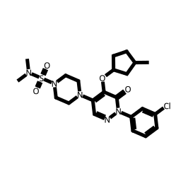 CC1CCC(Oc2c(N3CCN(S(=O)(=O)N(C)C)CC3)cnn(-c3cccc(Cl)c3)c2=O)C1